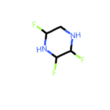 FC1CNC(F)C(F)N1